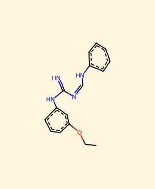 CCOc1cccc(NC(=N)/N=C\Nc2ccccc2)c1